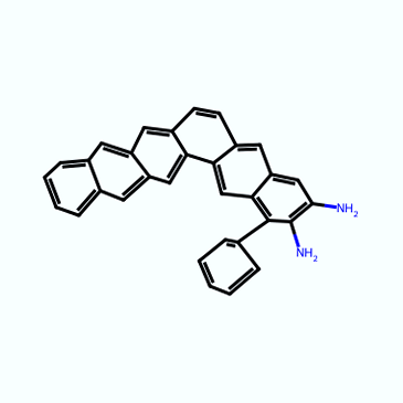 Nc1cc2cc3ccc4cc5cc6ccccc6cc5cc4c3cc2c(-c2ccccc2)c1N